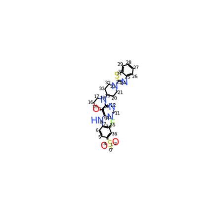 CS(=O)(=O)c1ccc(Nc2ncnc3c2OCCN3C2CCN(c3nc4ccccc4s3)CC2)c(F)c1